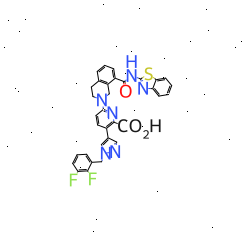 O=C(Nc1nc2ccccc2s1)c1cccc2c1CN(c1ccc(-c3cnn(Cc4cccc(F)c4F)c3)c(C(=O)O)n1)CC2